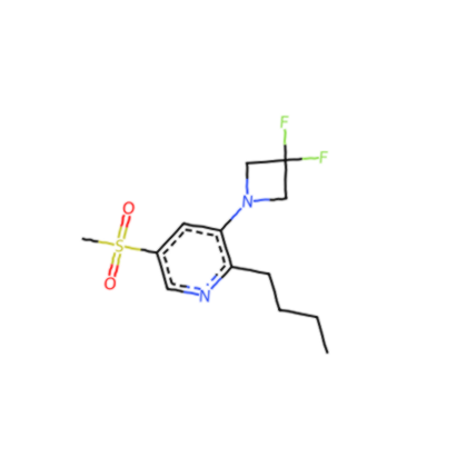 CCCCc1ncc(S(C)(=O)=O)cc1N1CC(F)(F)C1